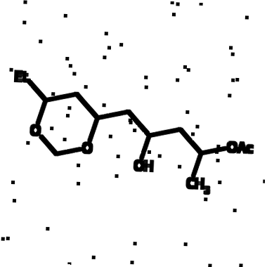 CCC1CC(CC(O)CC(C)OC(C)=O)OCO1